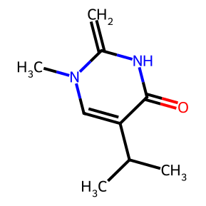 C=C1NC(=O)C(C(C)C)=CN1C